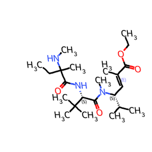 CCOC(=O)/C(C)=C/[C@H](C(C)C)N(C)C(=O)[C@@H](NC(=O)C(C)(CC)NC)C(C)(C)C